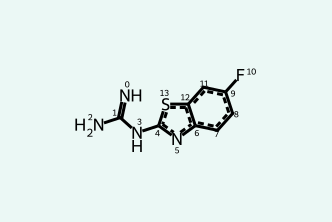 N=C(N)Nc1nc2ccc(F)cc2s1